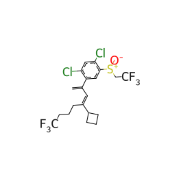 C=C(/C=C(\CCCC(F)(F)F)C1CCC1)c1cc([S+]([O-])CC(F)(F)F)c(Cl)cc1Cl